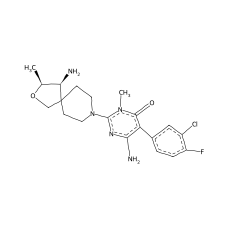 C[C@@H]1OCC2(CCN(c3nc(N)c(-c4ccc(F)c(Cl)c4)c(=O)n3C)CC2)[C@@H]1N